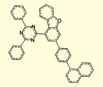 c1ccc(-c2nc(-c3ccccc3)nc(-c3cc(-c4ccc(-c5cccc6ccccc56)cc4)cc4oc5ccccc5c34)n2)cc1